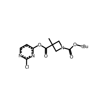 CC(C)(C)OC(=O)N1CC(C)(C(=O)Oc2ccnc(Cl)n2)C1